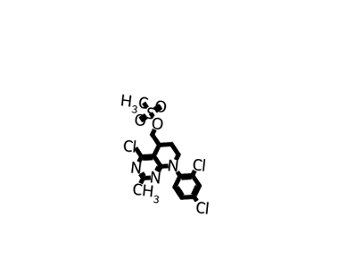 Cc1nc(Cl)c2c(n1)N(c1ccc(Cl)cc1Cl)CCC2COS(C)(=O)=O